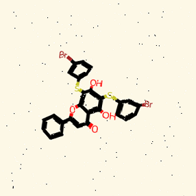 O=c1cc(-c2ccccc2)oc2c(Sc3cccc(Br)c3)c(O)c(Sc3cccc(Br)c3)c(O)c12